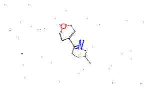 CC1CCC(C2=CCOCC2)=NC1